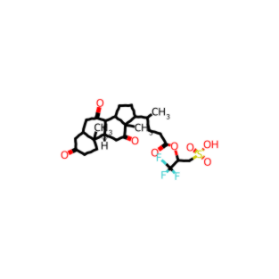 CC(CCC(=O)OC(CS(=O)(=O)O)C(F)(F)F)C1CCC2C3C(=O)CC4CC(=O)CCC4(C)[C@H]3CC(=O)C12C